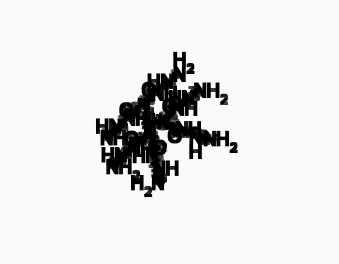 NCCNCCNC(=O)CCN(CCC(=O)NCCNCCN)CCN(CCN(CCC(=O)NCCNCCN)CCC(=O)NCCNCCN)CCN(CCC(=O)NCCNCCN)CCC(=O)NCCNCCN